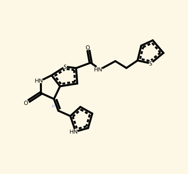 O=C1Nc2sc(C(=O)NCCc3cccs3)cc2/C1=C\c1ccc[nH]1